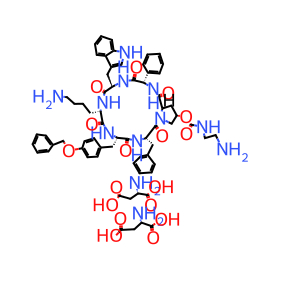 NCCCC[C@@H]1NC(=O)[C@@H](Cc2c[nH]c3ccccc23)NC(=O)[C@H](c2ccccc2)NC(=O)[C@@H]2C[C@@H](OC(=O)NCCN)CN2C(=O)[C@H](Cc2ccccc2)NC(=O)[C@H](Cc2ccc(OCc3ccccc3)cc2)NC1=O.N[C@@H](CC(=O)O)C(=O)O.N[C@@H](CC(=O)O)C(=O)O